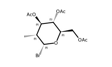 CC(=O)OC[C@H]1O[C@H](Br)[C@H](C)[C@@H](OC(C)=O)[C@@H]1OC(C)=O